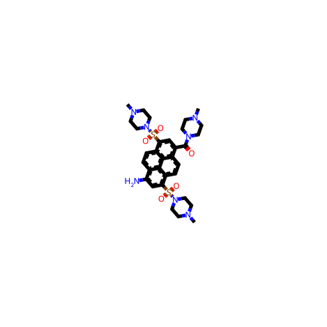 CN1CCN(C(=O)c2cc(S(=O)(=O)N3CCN(C)CC3)c3ccc4c(N)cc(S(=O)(=O)N5CCN(C)CC5)c5ccc2c3c45)CC1